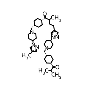 Cc1cnn(C2CCN(C[C@H]3CC[C@@H](C(=O)C(C)CCc4cnn(C5CCN(C[C@H]6CC[C@H](C(=O)C(C)C)CC6)CC5)c4)CC3)CC2)c1